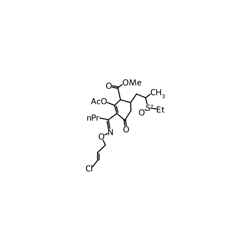 CCCC(=NOCC=CCl)C1=C(OC(C)=O)C(C(=O)OC)C(CC(C)[S+]([O-])CC)CC1=O